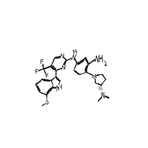 COc1cccc2c(-c3nc(Nc4ccc(N5CC[C@H](N(C)C)C5)c(N)c4)ncc3C(F)(F)F)c[nH]c12